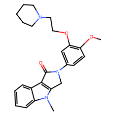 COc1ccc(N2Cc3c(c4ccccc4n3C)C2=O)cc1OCCN1CCCCC1